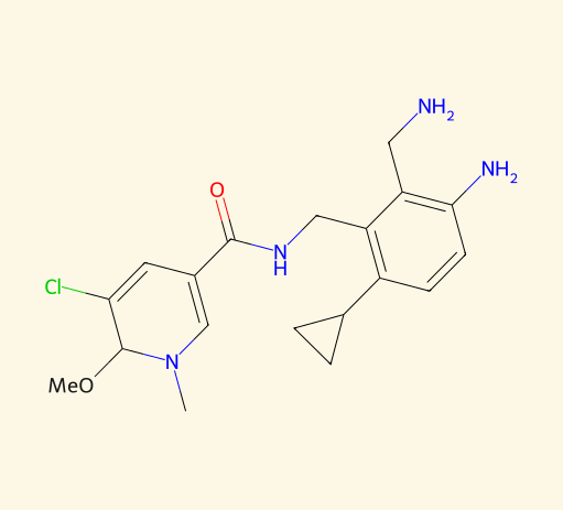 COC1C(Cl)=CC(C(=O)NCc2c(C3CC3)ccc(N)c2CN)=CN1C